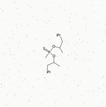 CC(C)CC(C)OP(C)(=S)OC(C)CC(C)C